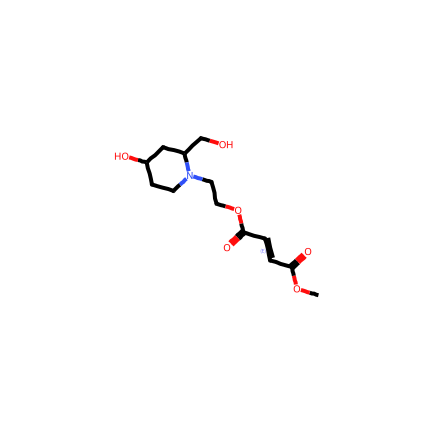 COC(=O)/C=C/C(=O)OCCN1CCC(O)CC1CO